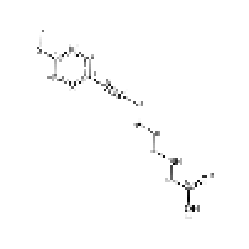 CSc1ncc(C#CCCCCNCC(=O)O)cn1